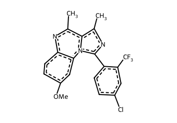 COc1ccc2nc(C)c3c(C)nc(-c4ccc(Cl)cc4C(F)(F)F)n3c2c1